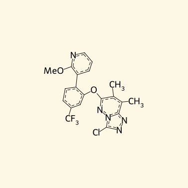 COc1ncccc1-c1ccc(C(F)(F)F)cc1Oc1nn2c(Cl)nnc2c(C)c1C